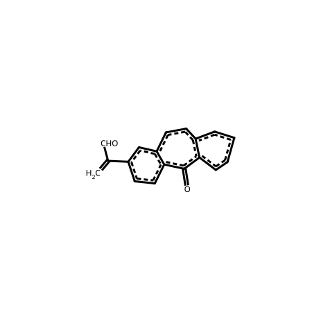 C=C(C=O)c1ccc2c(=O)c3ccccc3ccc2c1